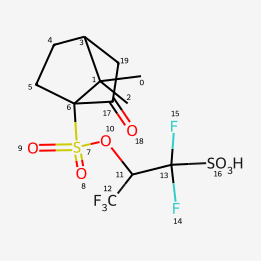 CC1(C)C2CCC1(S(=O)(=O)OC(C(F)(F)F)C(F)(F)S(=O)(=O)O)C(=O)C2